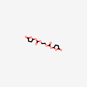 O=C1CCC(OC(=O)OCCOC(=O)OC2CCC(=O)O2)O1